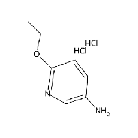 CCOc1ccc(N)cn1.Cl.Cl